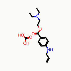 C=CCNc1ccc(C(=O)OCCN(CC)CC)cc1.O=C(O)O